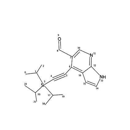 CC(C)[Si](C#Cc1c(C=O)cnc2[nH]ccc12)(C(C)C)C(C)C